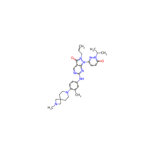 C=CCn1c(=O)c2cnc(Nc3ccc(N4CCC5(CC4)CN(C)C5)c(C)c3)nc2n1-c1ccc(=O)n(C(C)C)n1